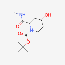 CNC(=O)C1CC(O)CCN1C(=O)OC(C)(C)C